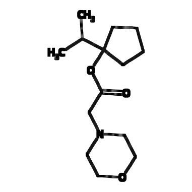 CC(C)C1(OC(=O)CN2CCOCC2)CCCC1